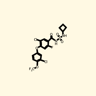 O=C(NS(=O)(=O)NC1CCC1)c1cc(Cl)c(Oc2ccc(OC(F)(F)F)c(Cl)c2)cc1F